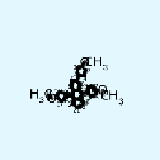 COc1ccc(-c2ccc3c(-c4ccc(OC)cc4)c4ccccc4c(-c4ccc(OC)cc4)c3c2)cc1